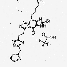 CCCCCn1c2nc(Br)[nH]c2c(=O)n2c(CCc3nc(Cc4ccccn4)no3)nnc12.O=C(O)C(F)(F)F